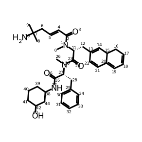 CN(C(=O)/C=C/CC(C)(C)N)[C@H](CC1=CC2CC=CC=C2C=C1)C(=O)N(C)[C@H](Cc1ccccc1)C(=O)NC1CCCC(O)C1